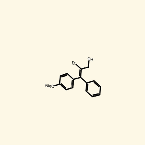 CCC(CO)=C(c1ccccc1)c1ccc(OC)cc1